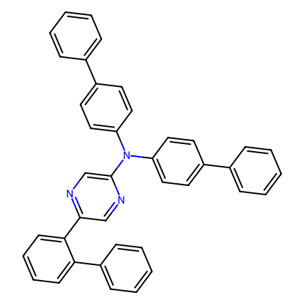 c1ccc(-c2ccc(N(c3ccc(-c4ccccc4)cc3)c3cnc(-c4ccccc4-c4ccccc4)cn3)cc2)cc1